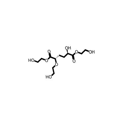 O=C(OCCO)[C@H](O)CC[C@H](OCCO)C(=O)OCCO